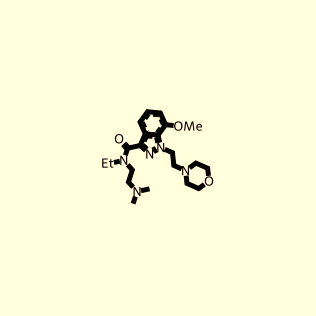 CCN(CCN(C)C)C(=O)c1nn(CCN2CCOCC2)c2c(OC)cccc12